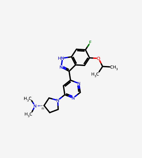 CC(C)Oc1cc2c(-c3cc(N4CC[C@H](N(C)C)C4)ncn3)n[nH]c2cc1F